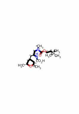 C[C@@H]1C[C@@H](C[C@@H](CN(C)C(=O)OCC[Si](C)(C)C)NC(=O)O)C[C@H](C)O1